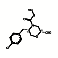 CC(C)(C)OC(=O)N1C[C@H](C=O)OC[C@@H]1Cc1ccc(Cl)cc1